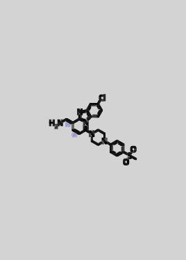 C=C(/C=C\C(=C/N)c1nc2cc(Cl)ccc2[nH]1)N1CCN(c2ccc(S(C)(=O)=O)cc2)CC1